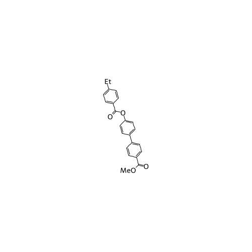 CCc1ccc(C(=O)Oc2ccc(-c3ccc(C(=O)OC)cc3)cc2)cc1